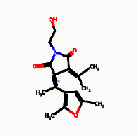 CC(C)=C1C(=O)N(CCO)C(=O)/C1=C(\C)c1cc(C)oc1C